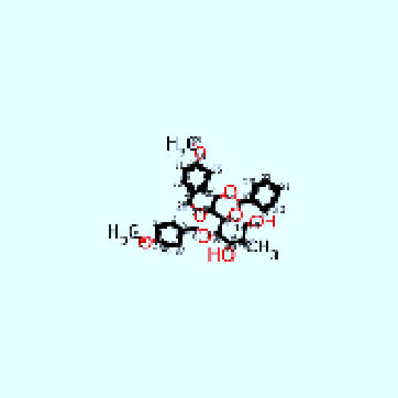 COc1ccc(CO[C@@H]([C@H](O)[C@H](C)CO)[C@@H]2OC(c3ccccc3)OC[C@@H]2OCc2ccc(OC)cc2)cc1